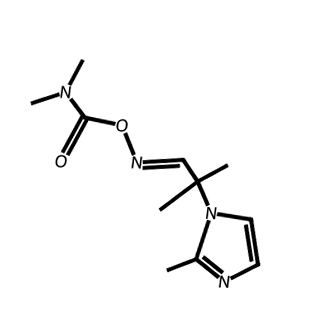 Cc1nccn1C(C)(C)C=NOC(=O)N(C)C